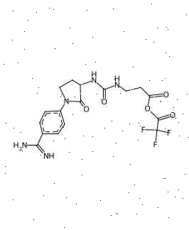 N=C(N)c1ccc(N2CCC(NC(=O)NCCC(=O)OC(=O)C(F)(F)F)C2=O)cc1